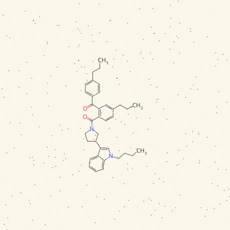 CCCCn1cc(C2CCN(C(=O)c3ccc(CCC)cc3C(=O)c3ccc(CCC)cc3)C2)c2ccccc21